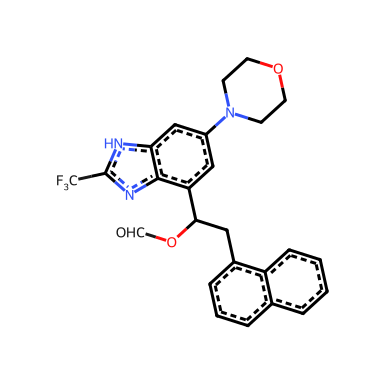 O=COC(Cc1cccc2ccccc12)c1cc(N2CCOCC2)cc2[nH]c(C(F)(F)F)nc12